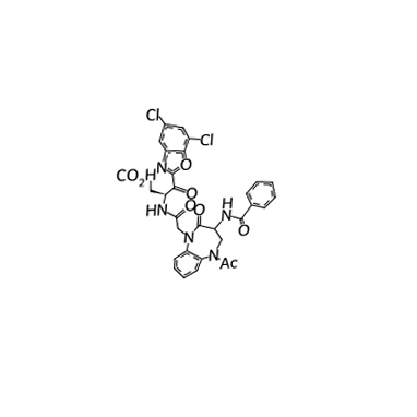 CC(=O)N1CC(NC(=O)c2ccccc2)C(=O)N(CC(=O)N[C@@H](CC(=O)O)C(=O)c2nc3cc(Cl)cc(Cl)c3o2)c2ccccc21